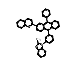 Cc1nc2ccccc2n1-c1cccc(-c2c3ccccc3c(-c3ccccc3)c3cc(-c4ccc5ccccc5n4)ccc23)c1